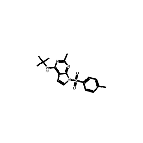 Cc1ccc(S(=O)(=O)n2ccc3c(NC(C)(C)C)nc(C)nc32)cc1